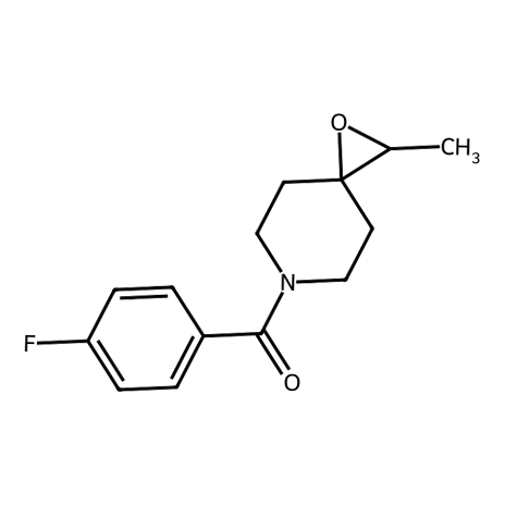 CC1OC12CCN(C(=O)c1ccc(F)cc1)CC2